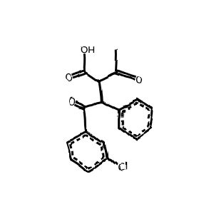 CC(=O)C(C(=O)O)C(C(=O)c1cccc(Cl)c1)c1ccccc1